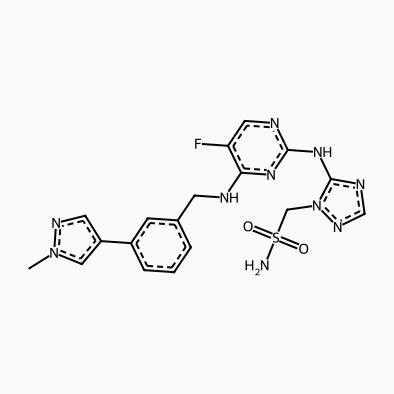 Cn1cc(-c2cccc(CNc3nc(Nc4ncnn4CS(N)(=O)=O)ncc3F)c2)cn1